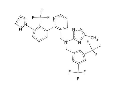 Cn1nnc(N(Cc2cc(C(F)(F)F)cc(C(F)(F)F)c2)Cc2ccccc2-c2cccc(-n3cccn3)c2C(F)(F)F)n1